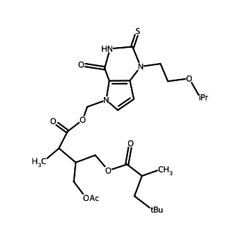 CC(=O)OCC(COC(=O)C(C)CC(C)(C)C)C(C)C(=O)OCn1ccc2c1c(=O)[nH]c(=S)n2CCOC(C)C